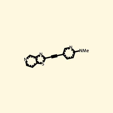 CNc1ccc(C#Cc2nc3cnccc3s2)cn1